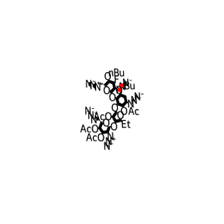 CCCCO[C@H]1[C@@H](O[C@H]2[C@H](O[C@@H]3O[C@H](CC)[C@@H](O[C@H]4O[C@@H](CN=[N+]=[N-])[C@@H](OC(C)=O)[C@H](OC(C)=O)[C@H]4N=[N+]=[N-])[C@H]3OC(C)=O)[C@@H](OC(C)=O)[C@H](N=[N+]=[N-])C[C@@H]2N=[N+]=[N-])O[C@H](CN=[N+]=[N-])[C@@H](OCCCC)[C@@H]1F